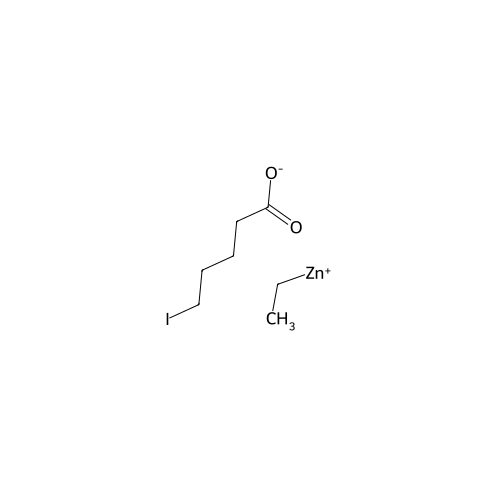 C[CH2][Zn+].O=C([O-])CCCCI